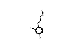 O=NCCCc1ccc(Cl)cc1Cl